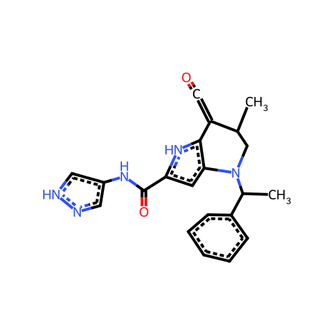 CC1CN(C(C)c2ccccc2)c2cc(C(=O)Nc3cn[nH]c3)[nH]c2C1=C=O